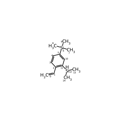 C=Cc1ccc([Si](C)(C)C)cc1[SiH](C)C